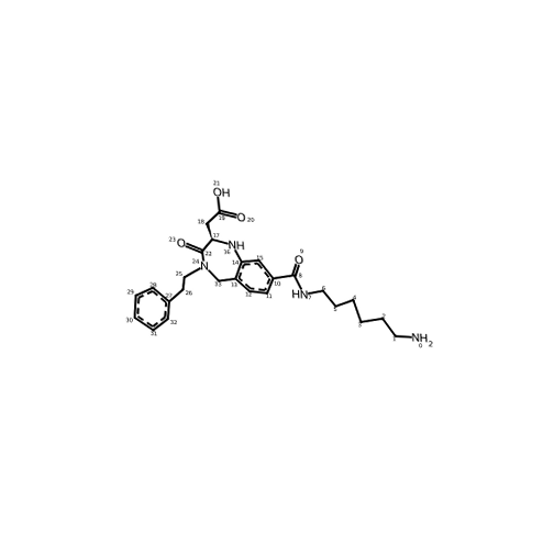 NCCCCCCNC(=O)c1ccc2c(c1)N[C@H](CC(=O)O)C(=O)N(CCc1ccccc1)C2